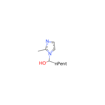 CCCCCC(O)n1ccnc1C